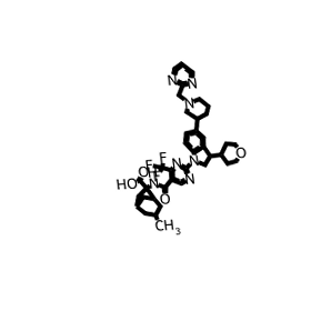 CC1CC2CC(C1)C(NC(=O)c1cnc(N3CC(C4CCOCC4)c4cc(C5CCCN(Cc6ncccn6)C5)ccc43)nc1C(F)(F)F)(C(=O)O)C2